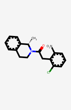 C[C@H]1c2ccccc2CCN1C(=O)Cc1c(Cl)cccc1[N+](=O)[O-]